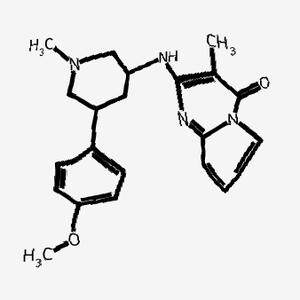 COc1ccc(C2CC(Nc3nc4ccccn4c(=O)c3C)CN(C)C2)cc1